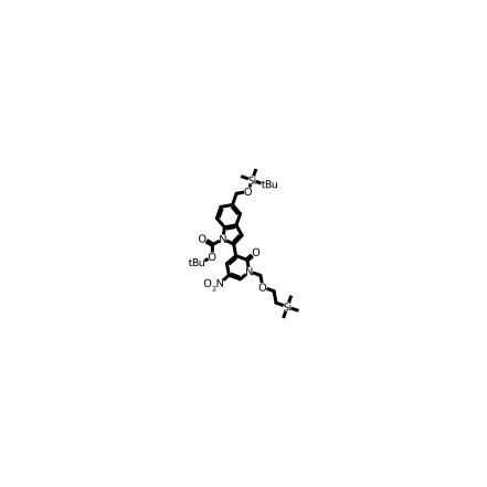 CC(C)(C)OC(=O)n1c(-c2cc([N+](=O)[O-])cn(COCC[Si](C)(C)C)c2=O)cc2cc(CO[Si](C)(C)C(C)(C)C)ccc21